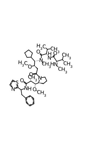 CN[C@H](C(=O)N[C@H](C(=O)N(C)[C@@H](C1CCCC1)[C@@H](CC(=O)N1CCC[C@H]1[C@H](OC)[C@@H](C)C(=O)NC(Cc1ccccc1)c1nccs1)OC)C(C)C)C(C)C